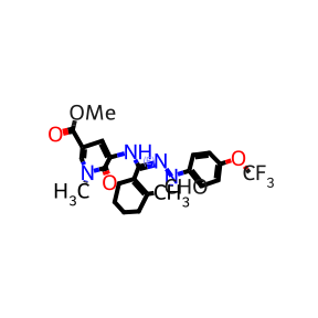 COC(=O)c1cc(N/C(=N/N(C=O)c2ccc(OC(F)(F)F)cc2)C2=C(C)CCCC2)c(=O)n(C)c1